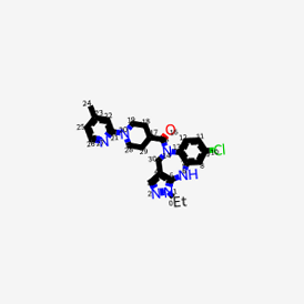 CCn1ncc2c1Nc1cc(Cl)ccc1N(C(=O)C1CCN(c3cc(C)ccn3)CC1)C2